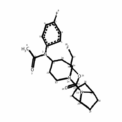 CC(=O)N(c1ccc(F)cc1)C1CCN(C2CC3CCC(C2)N3C(=O)OCCF)CC1